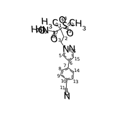 CC(CCn1cc(-c2ccc(C#N)cc2)cn1)(C(=O)NO)S(C)(=O)=O